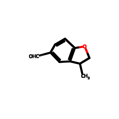 CC1COc2ccc(C=O)cc21